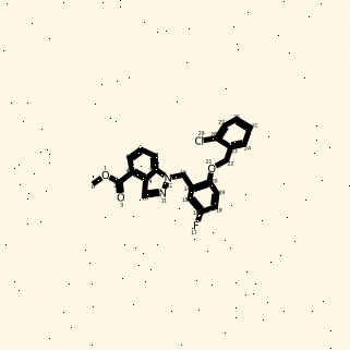 COC(=O)c1cccc2c1cnn2Cc1cc(F)ccc1OCc1ccccc1Cl